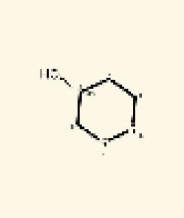 O[C@@H]1CCSSC1